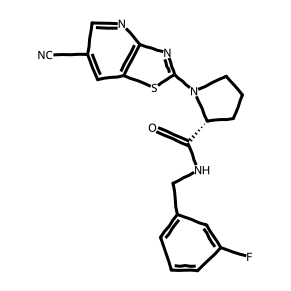 N#Cc1cnc2nc(N3CCC[C@@H]3C(=O)NCc3cccc(F)c3)sc2c1